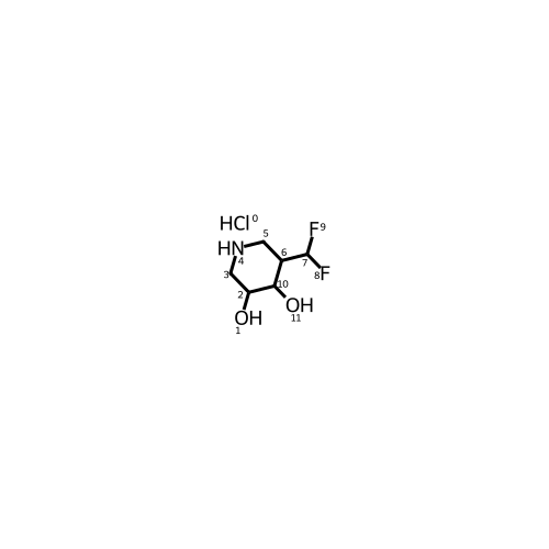 Cl.OC1CNCC(C(F)F)C1O